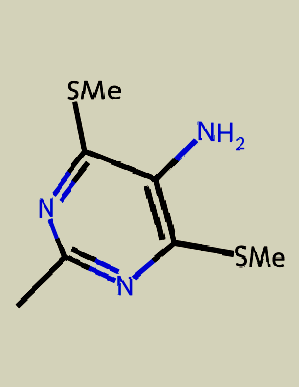 CSc1nc(C)nc(SC)c1N